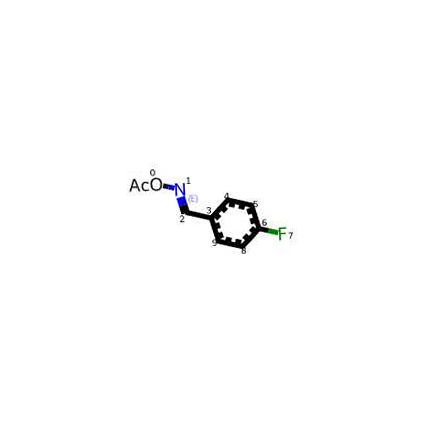 CC(=O)O/N=C/c1ccc(F)cc1